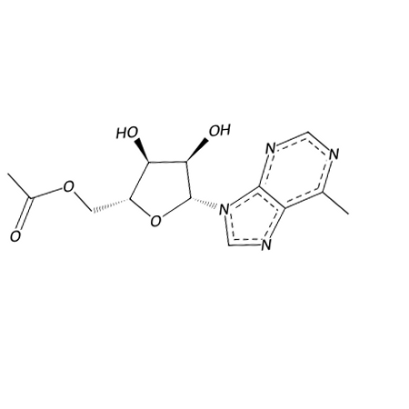 CC(=O)OC[C@H]1O[C@@H](n2cnc3c(C)ncnc32)[C@H](O)[C@@H]1O